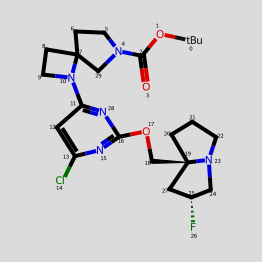 CC(C)(C)OC(=O)N1CCC2(CCN2c2cc(Cl)nc(OC[C@@]34CCCN3C[C@H](F)C4)n2)C1